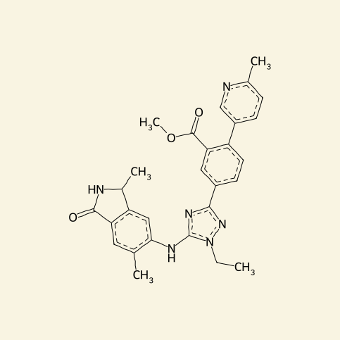 CCn1nc(-c2ccc(-c3ccc(C)nc3)c(C(=O)OC)c2)nc1Nc1cc2c(cc1C)C(=O)NC2C